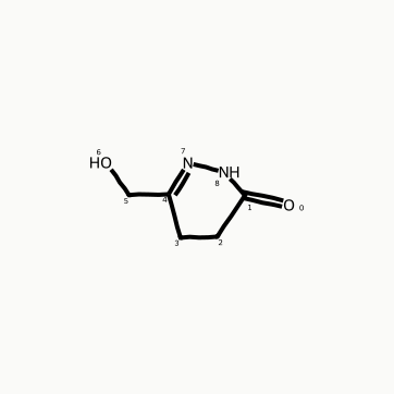 O=C1CCC(CO)=NN1